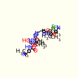 Cc1ncsc1-c1ccc([C@@H](NC(=O)[C@@H]2C[C@@H](O)CN2C(=O)[C@@H](NC(=O)CN2CCN(CCCc3ccc(C(=O)NC4C(C)(C)C(Oc5ccc(C#N)c(C(F)(F)F)c5)C4(C)C)cc3)CC2)C(C)(C)C)C2COC2)cc1